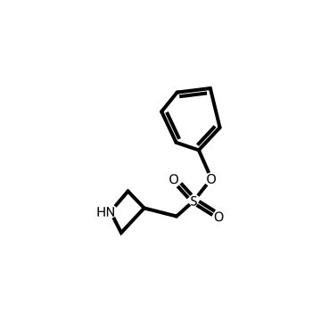 O=S(=O)(CC1CNC1)Oc1ccccc1